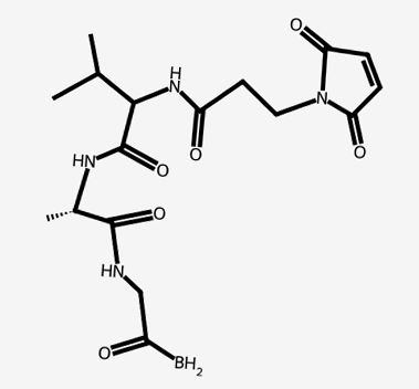 BC(=O)CNC(=O)[C@H](C)NC(=O)C(NC(=O)CCN1C(=O)C=CC1=O)C(C)C